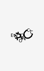 CCN1C(C)(C)CC2(CC1(C)C)OC1(CCCCCCCCCCC1)N(C)C2=O